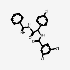 N=C(NC(=O)C(NC(=O)c1cc(Cl)cc(Cl)c1)c1ccc(Cl)cc1)c1ccccc1